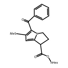 CCCCCCOC(=O)C1CCn2c1cc(SC)c2C(=O)c1ccccc1